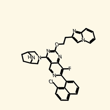 Fc1c(-c2cccc3cccc(Cl)c23)ncc2c(N3CC4CCC(C3)N4)nc(OCCc3cn4ccccc4n3)nc12